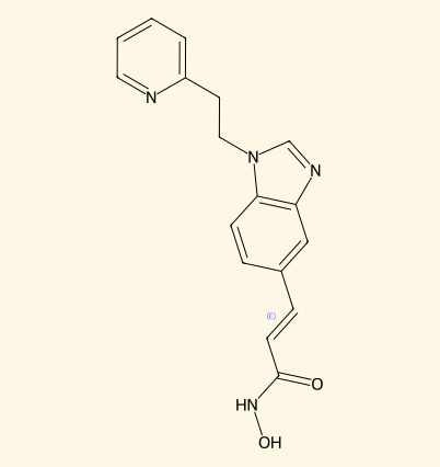 O=C(/C=C/c1ccc2c(c1)ncn2CCc1ccccn1)NO